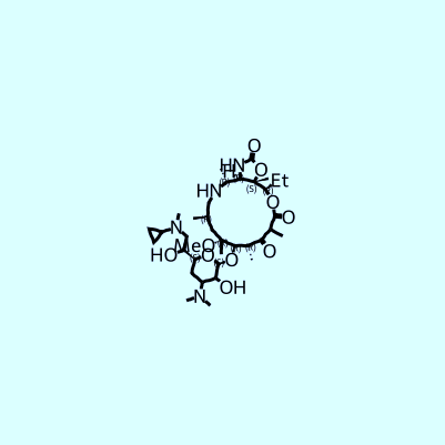 CC[C@H]1OC(=O)C(C)C(=O)[C@H](C)[C@@H](O[C@@H]2O[C@H](C(O)CN(C)C3CC3)CC(N(C)C)C2O)[C@](C)(OC)C[C@@H](C)CN[C@H](C)[C@H]2NC(=O)O[C@@]21C